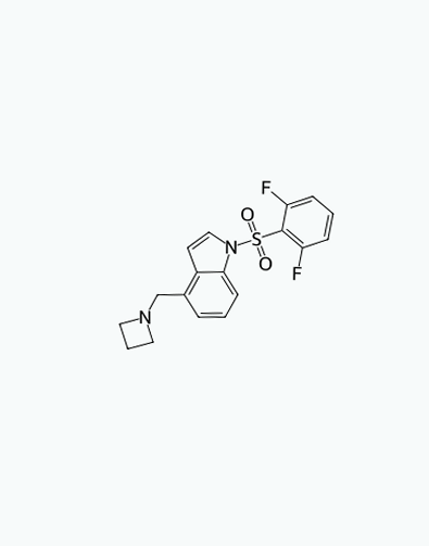 O=S(=O)(c1c(F)cccc1F)n1ccc2c(CN3CCC3)cccc21